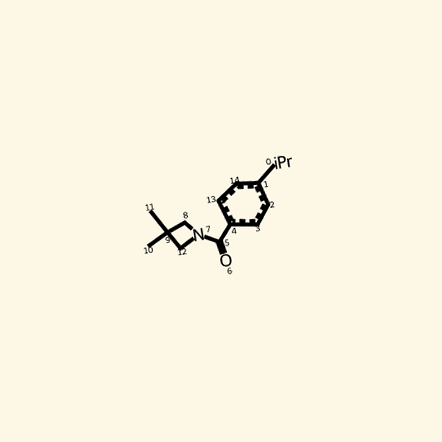 CC(C)c1ccc(C(=O)N2CC(C)(C)C2)cc1